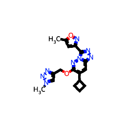 Cc1cc(-c2nnc3cc(C4CCC4)c(OCc4cn(C)nn4)nn23)no1